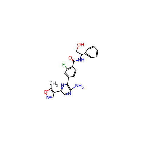 Cc1oncc1-c1cnc(N)c(-c2ccc(C(=O)NC(CO)c3ccccc3)c(F)c2)n1